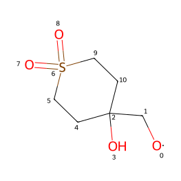 [O]CC1(O)CCS(=O)(=O)CC1